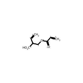 C=CC(=O)OCC(C=C)C(=O)O